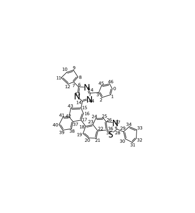 c1ccc(-c2nc(-c3ccccc3)nc(-c3cc(-c4cccc5c4ccc4nc(-c6ccccc6)sc45)c4ccccc4c3)n2)cc1